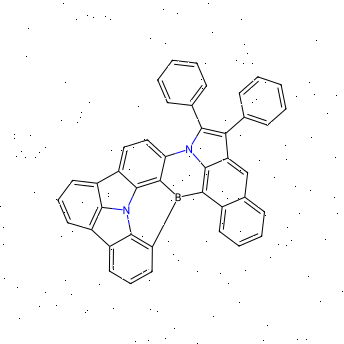 c1ccc(-c2c(-c3ccccc3)n3c4c(c5ccccc5cc24)B2c4cccc5c6cccc7c8ccc-3c2c8n(c45)c67)cc1